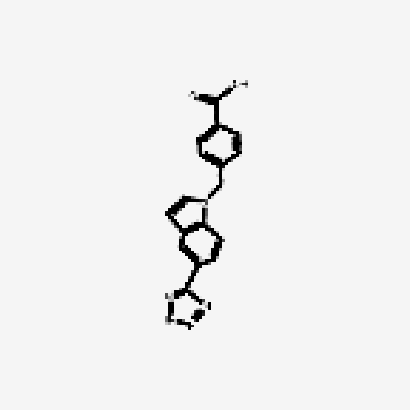 O=C(O)c1ccc(Cn2ccc3cc(-c4nn[nH]n4)ccc32)cc1